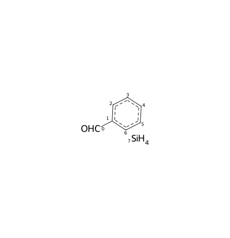 O=Cc1ccccc1.[SiH4]